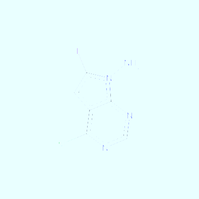 Nn1c(I)cc2c(Cl)ncnc21